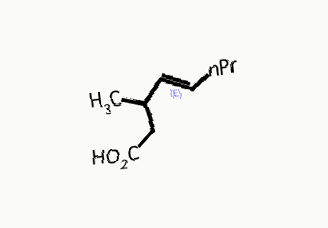 CCC/C=C/C(C)CC(=O)O